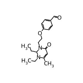 CCC1N(CCOc2ccc(C=O)cc2)C(=O)C=C(C)N1CC